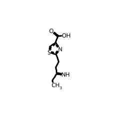 CCC(=N)CCc1nc(C(=O)O)cs1